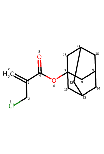 C=C(CCl)C(=O)OC12CC3CC(CC(C3)C1)C2